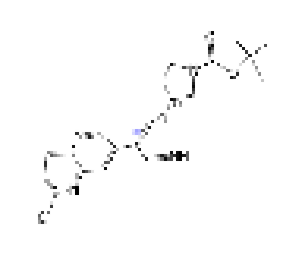 CC(C)(C)OC(=O)N1CC[C@@H](N/C=C(\C=N)c2cnc3ccc(Cl)nc3c2)C1